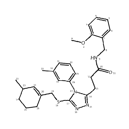 COc1ccccc1CNC(=O)CCc1nnc(SCC2=CC(C)CCC2)n1-c1cccc(C)c1